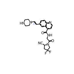 N#CC1CC(F)(F)CN1C(=O)CNC(=O)c1ccnc2ccc(/C=C/N3CCNCC3)cc12